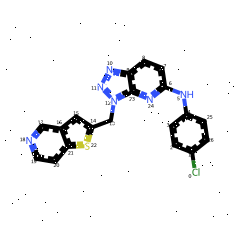 Clc1ccc(Nc2ccc3nnn(Cc4cc5cnccc5s4)c3n2)cc1